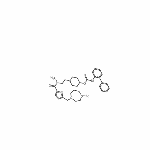 CC(=O)N1CCCN(Cc2ccc(C(=O)N(C)CCN3CCC(OC(=O)Nc4ccccc4-c4ccccc4)CC3)s2)CC1